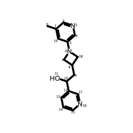 Cc1cncc(N2CC(CC(O)c3cccnc3)C2)c1